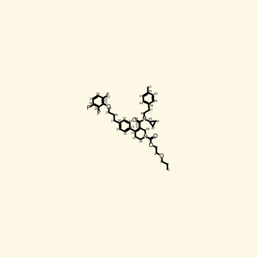 CCCOCCOC(=O)N1CCC(c2ccc(CCCOc3c(F)ccc(F)c3F)cc2)=C(C(=O)N(CCc2ccc(C)cc2)C2CC2)C1